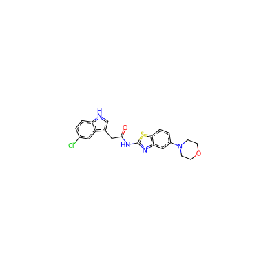 O=C(Cc1c[nH]c2ccc(Cl)cc12)Nc1nc2cc(N3CCOCC3)ccc2s1